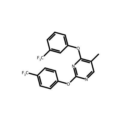 Cc1cnc(Oc2ccc(C(F)(F)F)cc2)nc1Oc1cccc(C(F)(F)F)c1